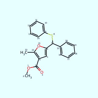 COC(=O)c1cc(C(Sc2ccccc2)c2ccccc2)oc1C